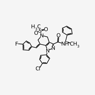 C[C@@H](NC(=O)c1nn(-c2ccc(Cl)cc2)c2c1CN(S(C)(=O)=O)C/C2=C\c1ccc(F)cc1)c1ccccc1